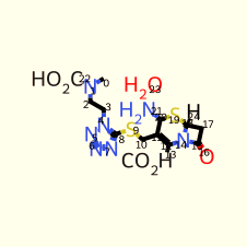 CN(CCn1nnnc1SCC1=C(C(=O)O)N2C(=O)C[C@H]2SC1N)C(=O)O.O